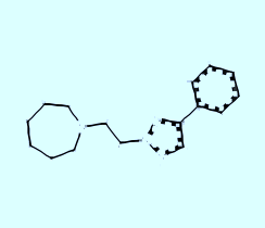 c1ccc(-c2cnn(CCN3CCCCCC3)n2)cc1